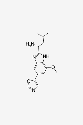 COc1cc(-c2cnco2)cc2nc([C@H](N)CC(C)C)[nH]c12